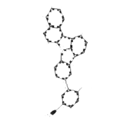 Cc1ccc(C#N)cc1-c1ccc2c(c1)c1cccc3c4c5ccccc5ccc4n2c13